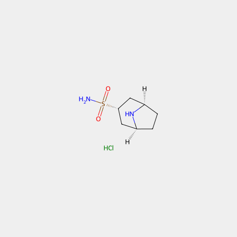 Cl.NS(=O)(=O)[C@@H]1C[C@H]2CC[C@@H](C1)N2